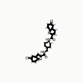 O=C(NN1CCC(CNC(=O)c2cc3cc(Cl)ccc3o2)CC1)c1ccc2cc(Cl)ccc2n1